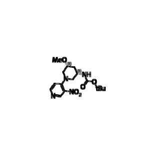 CO[C@@H]1C[C@H](NC(=O)OC(C)(C)C)CN(c2ccncc2[N+](=O)[O-])C1